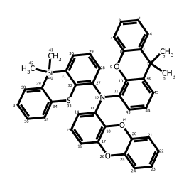 CC1(C)c2ccccc2Oc2c(N(c3cccc4c3Oc3ccccc3O4)c3cccc4c3Sc3ccccc3[Si]4(C)C)cccc21